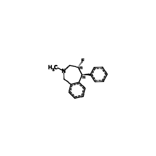 CN1Cc2ccccc2[C@H](c2ccccc2)[C@@H](F)C1